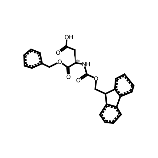 O=C(O)C[C@@H](NC(=O)OCC1c2ccccc2-c2ccccc21)C(=O)OCc1ccccc1